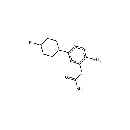 CCN1CCN(c2cc(OC(N)=O)c(N)cn2)CC1